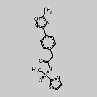 CS(=O)(=NC(=O)Cc1ccc(-c2noc(C(F)(F)F)n2)cc1)c1nccs1